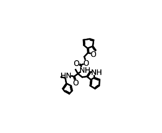 CC(NC(=O)C(C)(Cc1c[nH]c2ccccc12)NC(=O)OCc1occ2ccccc12)c1ccccc1